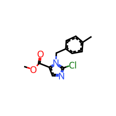 COC(=O)c1cnc(Cl)n1Cc1ccc(C)cc1